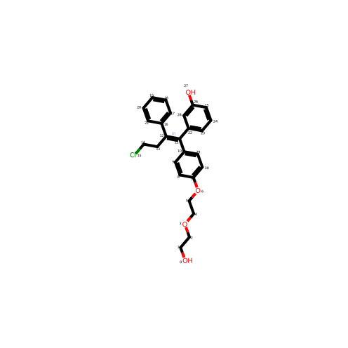 OCCOCCOc1ccc(/C(=C(\CCCl)c2ccccc2)c2cccc(O)c2)cc1